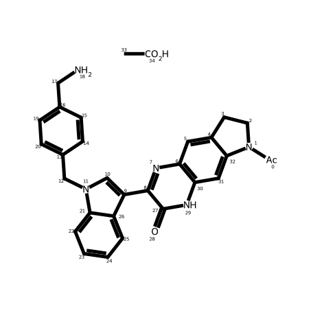 CC(=O)N1CCc2cc3nc(-c4cn(Cc5ccc(CN)cc5)c5ccccc45)c(=O)[nH]c3cc21.CC(=O)O